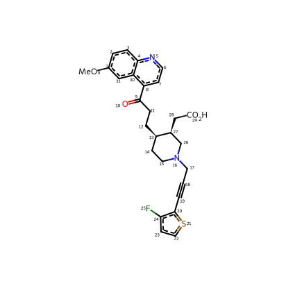 COc1ccc2nccc(C(=O)CC[C@@H]3CCN(CC#Cc4sccc4F)C[C@@H]3CC(=O)O)c2c1